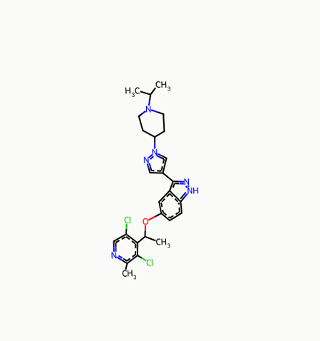 Cc1ncc(Cl)c(C(C)Oc2ccc3[nH]nc(-c4cnn(C5CCN(C(C)C)CC5)c4)c3c2)c1Cl